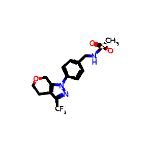 CS(=O)(=O)NCc1ccc(-n2nc(C(F)(F)F)c3c2COCC3)cc1